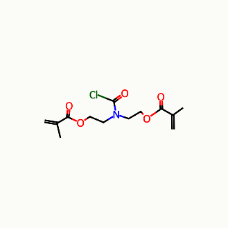 C=C(C)C(=O)OCCN(CCOC(=O)C(=C)C)C(=O)Cl